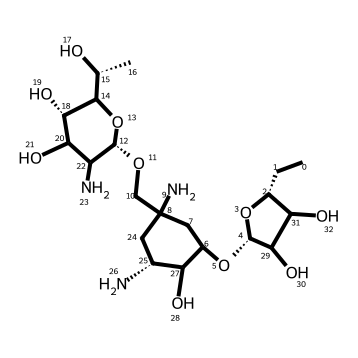 CC[C@H]1O[C@@H](OC2CC(N)(CO[C@H]3OC([C@@H](C)O)[C@@H](O)C(O)C3N)C[C@@H](N)C2O)C(O)C1O